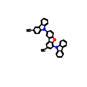 N#Cc1cc(-n2c3ccccc3c3ccccc32)c2oc3ccc(-n4c5ccccc5c5cc(C#N)ccc54)cc3c2c1